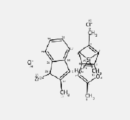 CC1=C2c3oc(C)cc3C1[Si]2(C)C.CC1=Cc2ccccc2[CH]1[Zr+2].[Cl-].[Cl-]